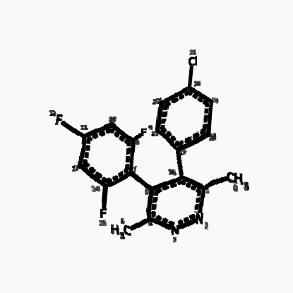 Cc1nnc(C)c(-c2c(F)cc(F)cc2F)c1-c1ccc(Cl)cc1